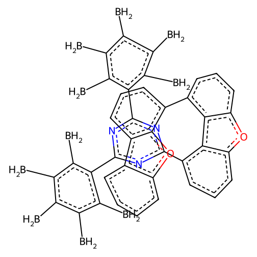 Bc1c(B)c(B)c(-c2nc(-c3c(B)c(B)c(B)c(B)c3B)nc(-c3cccc4oc5cccc(-c6cccc7c6oc6ccccc67)c5c34)n2)c(B)c1B